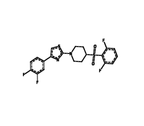 O=S(=O)(c1c(F)cccc1F)C1CCN(c2nc(-c3ccc(F)c(F)c3)cs2)CC1